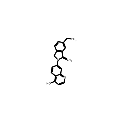 C=C1c2cc(CC)ccc2CN1c1ccc2c(O)ccnc2c1